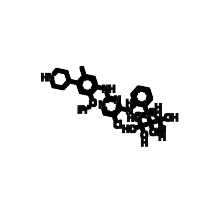 Cc1cc(Nc2ncc(Cl)c(Nc3ccccc3S(=O)(=O)C(O)(C(O)(O)O)C(O)(O)O)n2)c(OC(C)C)cc1C1CCNCC1